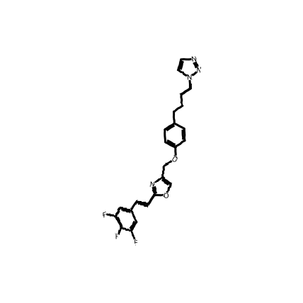 Fc1cc(/C=C/c2nc(COc3ccc(CCCCn4ccnn4)cc3)co2)cc(F)c1F